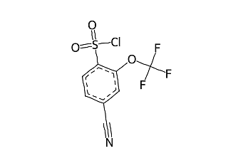 N#Cc1ccc(S(=O)(=O)Cl)c(OC(F)(F)F)c1